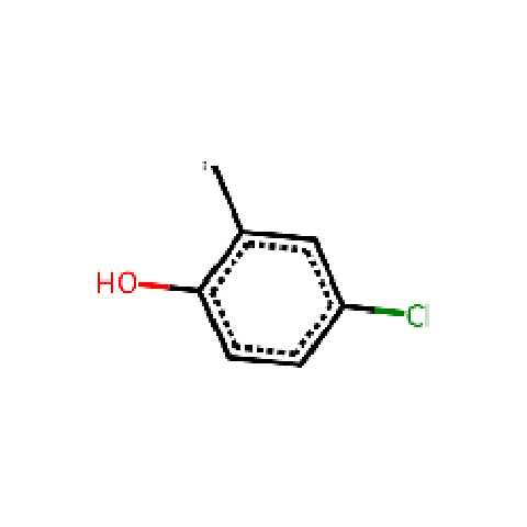 [CH]c1cc(Cl)ccc1O